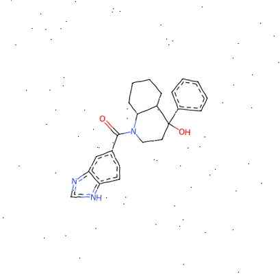 O=C(c1ccc2[nH]cnc2c1)N1CCC(O)(c2ccccc2)C2CCCCC21